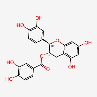 O=C(O[C@H]1Cc2c(O)cc(O)cc2O[C@@H]1c1ccc(O)c(O)c1)c1ccc(O)c(O)c1